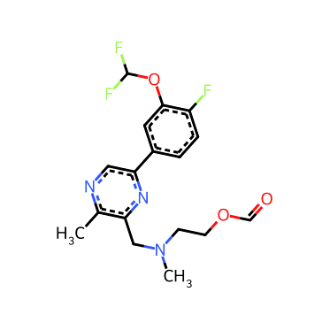 Cc1ncc(-c2ccc(F)c(OC(F)F)c2)nc1CN(C)CCOC=O